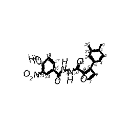 Cc1ccc(-c2ccoc2C(=O)NNC(=O)c2ccc(O)c([N+](=O)[O-])c2)cc1C